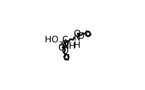 O=C(NCCCC[C@@H](ONC(=O)OCc1ccccc1)C(=O)O)OCc1ccccc1